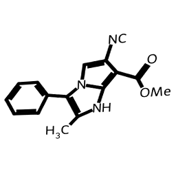 [C-]#[N+]c1cn2c(-c3ccccc3)c(C)[nH]c2c1C(=O)OC